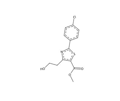 COC(=O)c1sc(-c2ccc(Cl)cc2)nc1CCO